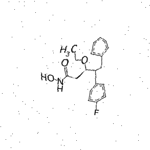 CCO[C@H](CC(=O)NO)C(Cc1ccccc1)c1ccc(F)cc1